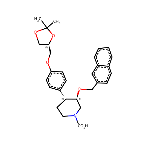 CC1(C)OC[C@H](COc2ccc([C@H]3CCN(C(=O)O)C[C@@H]3OCc3ccc4ccccc4c3)cc2)O1